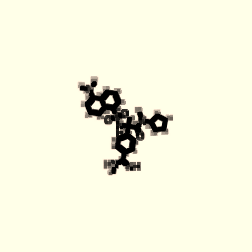 CNC(=N)c1ccc(C(C)(NS(=O)(=O)c2cccc3c(N(C)C)cccc23)C(=O)N(C)C2CCCC2)cc1